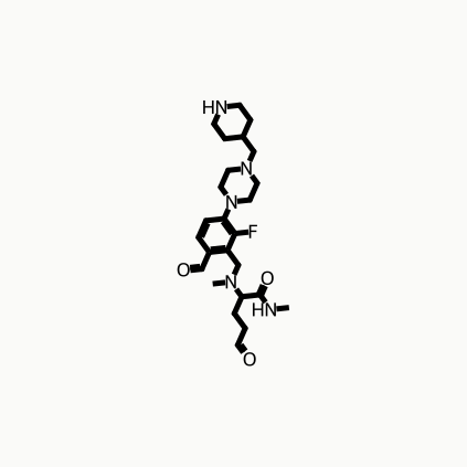 CNC(=O)C(CCC=O)N(C)Cc1c(C=O)ccc(N2CCN(CC3CCNCC3)CC2)c1F